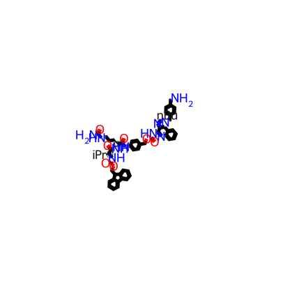 CCCCc1nc2c(NC(=O)OCc3ccc(NC(=O)[C@H](CCCNC(N)=O)NC(=O)[C@@H](NC(=O)OCC4c5ccccc5-c5ccccc54)C(C)C)cc3)nc3ccccc3c2n1Cc1ccc(CN)cc1